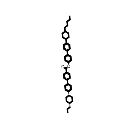 CCCCCC1CCC(c2ccc(-c3ccc(OC(=O)c4ccc(-c5ccc([C@H]6CC[C@H](CCC)CC6)cc5)cc4)cc3)cc2)CC1